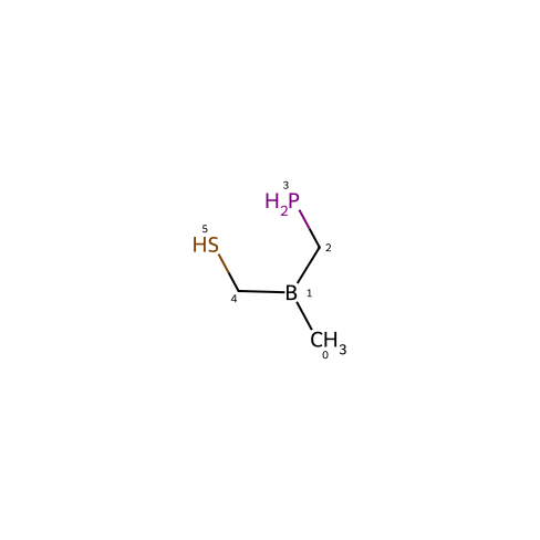 CB(CP)CS